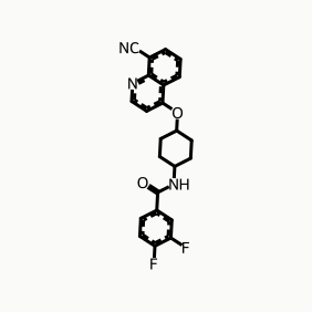 N#Cc1cccc2c(OC3CCC(NC(=O)c4ccc(F)c(F)c4)CC3)ccnc12